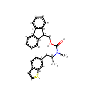 C[C@@H](Cc1ccc2ccsc2c1)N(C)C(=O)OCC1c2ccccc2-c2ccccc21